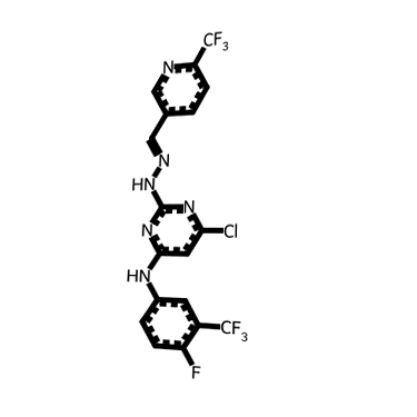 Fc1ccc(Nc2cc(Cl)nc(N/N=C/c3ccc(C(F)(F)F)nc3)n2)cc1C(F)(F)F